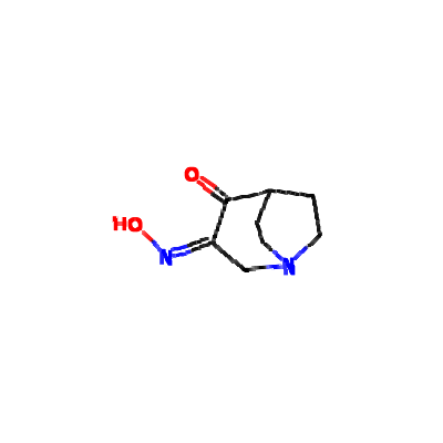 O=C1C(=NO)CN2CCC1CC2